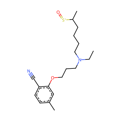 CCN(CCCCC(C)[S+]=O)CCCOc1cc(C)ccc1C#N